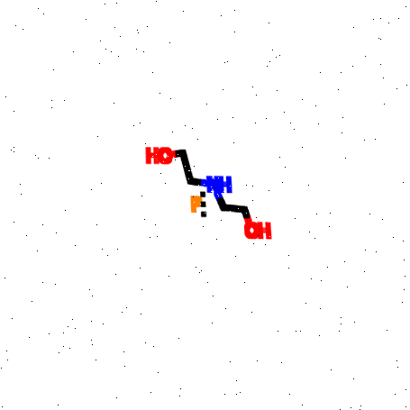 OCCNCCO.[P]